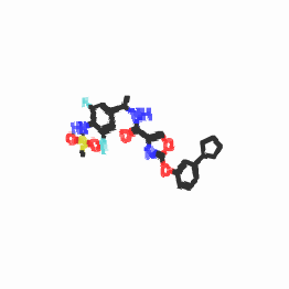 CC(NC(=O)c1coc(Oc2cccc(C3CCCC3)c2)n1)c1cc(F)c(NS(C)(=O)=O)c(F)c1